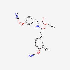 CCOC(=O)C(Cc1ccc(OC#N)cc1)NC(=O)CCc1ccc(OC#N)c(C)c1